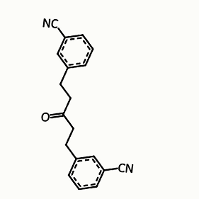 N#Cc1cccc(CCC(=O)CCc2cccc(C#N)c2)c1